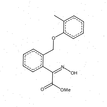 COC(=O)C(=NO)c1ccccc1COc1ccccc1C